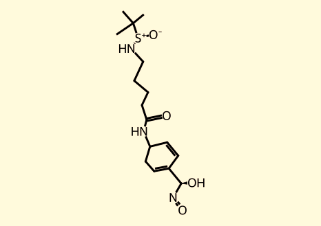 CC(C)(C)[S+]([O-])NCCCCC(=O)NC1C=CC([C@@H](O)N=O)=CC1